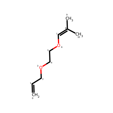 C=CCOCCOC=C(C)C